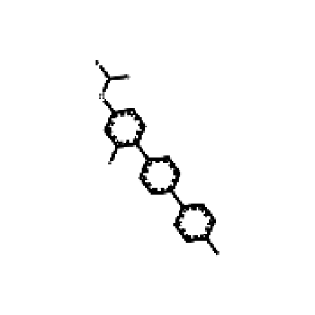 Cc1ccc(-c2ccc(-c3ccc(OC(F)F)cc3F)cc2)cc1